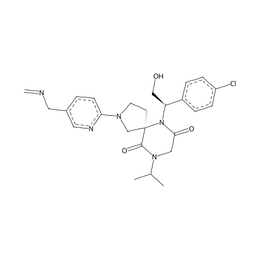 C=NCc1ccc(N2CC[C@@]3(C2)C(=O)N(C(C)C)CC(=O)N3[C@@H](CO)c2ccc(Cl)cc2)nc1